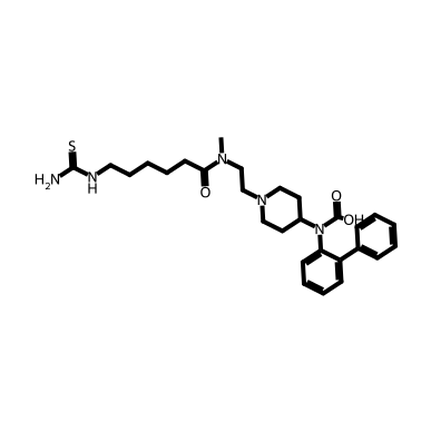 CN(CCN1CCC(N(C(=O)O)c2ccccc2-c2ccccc2)CC1)C(=O)CCCCCNC(N)=S